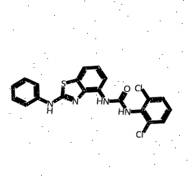 O=C(Nc1c(Cl)cccc1Cl)Nc1cccc2sc(Nc3ccccc3)nc12